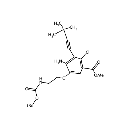 COC(=O)c1cc(OCCNC(=O)OC(C)(C)C)c(N)c(C#C[Si](C)(C)C)c1Cl